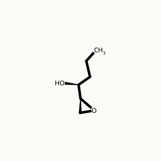 CCC[C@H](O)[C@@H]1CO1